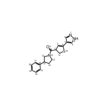 O=C(C1C=C(c2cn[nH]c2)SC1)N1CCC(c2ccccc2)C1